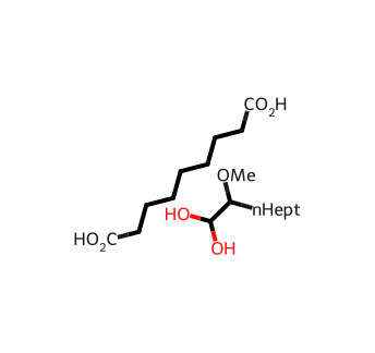 CCCCCCCC(OC)C(O)O.O=C(O)CCCCCCCC(=O)O